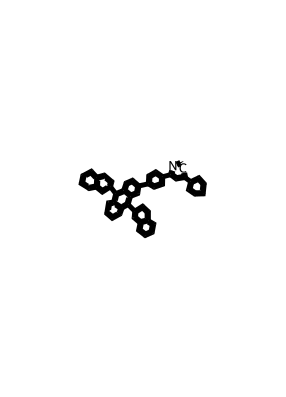 c1ccc(-c2ccnc(-c3ccc(-c4ccc5c(-c6ccc7ccccc7c6)c6ccccc6c(-c6ccc7ccccc7c6)c5c4)cc3)c2)cc1